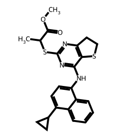 COC(=O)C(C)Sc1nc2c(c(Nc3ccc(C4CC4)c4ccccc34)n1)SCC2